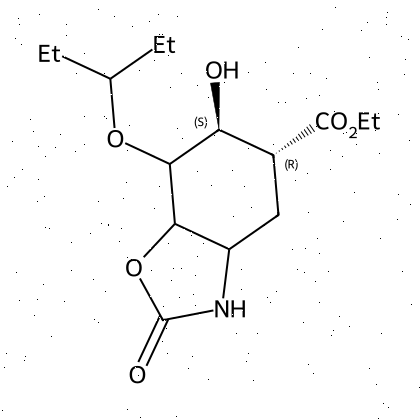 CCOC(=O)[C@@H]1CC2NC(=O)OC2C(OC(CC)CC)[C@H]1O